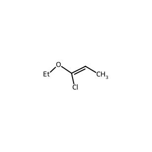 CC=C(Cl)OCC